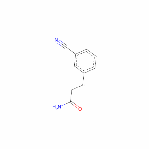 N#Cc1cccc([CH]CC(N)=O)c1